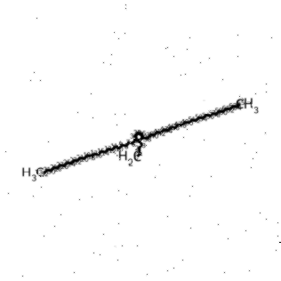 [CH2]CCCc1c(CCCCCCCCCCCCCCCCCCCCCCCCCCCC)cccc1CCCCCCCCCCCCCCCCCCCCCCCCCCCC